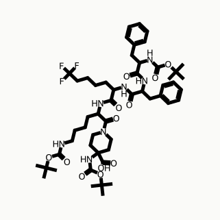 CC(C)(C)OC(=O)NCCCCC(NC(=O)C(CCCCC(F)(F)F)NC(=O)C(Cc1ccccc1)NC(=O)C(Cc1ccccc1)NC(=O)OC(C)(C)C)C(=O)N1CCC(NC(=O)OC(C)(C)C)(C(=O)O)CC1